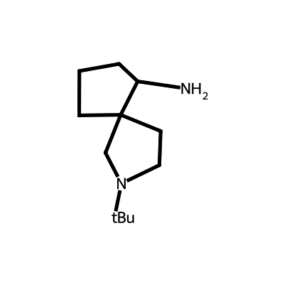 CC(C)(C)N1CCC2(CCCC2N)C1